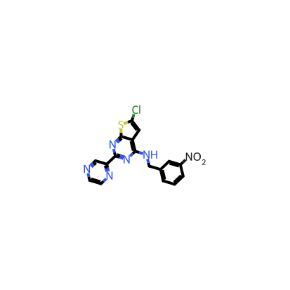 O=[N+]([O-])c1cccc(CNc2nc(-c3cnccn3)nc3sc(Cl)cc23)c1